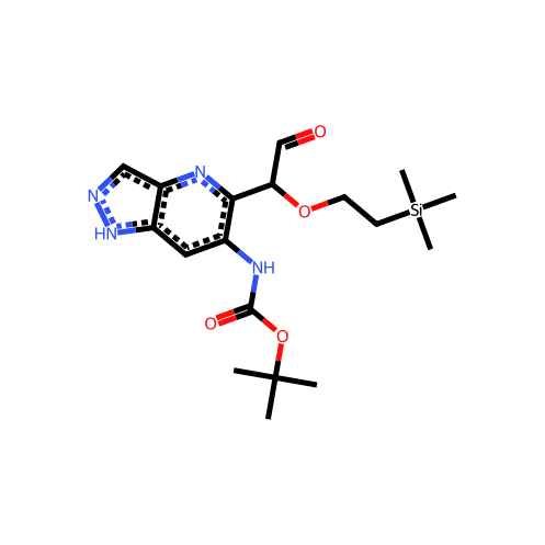 CC(C)(C)OC(=O)Nc1cc2[nH]ncc2nc1C(C=O)OCC[Si](C)(C)C